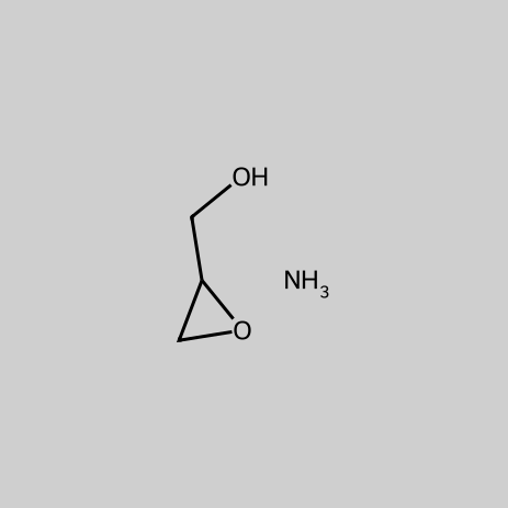 N.OCC1CO1